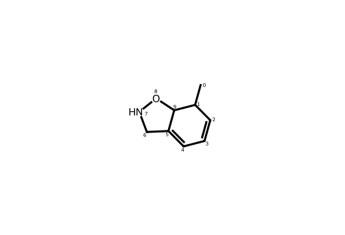 CC1C=CC=C2CNOC21